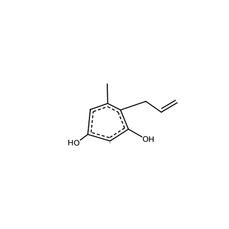 C=CCc1c(O)[c]c(O)cc1C